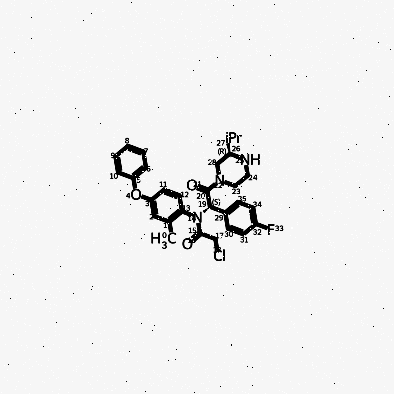 Cc1cc(Oc2ccccc2)ccc1N(C(=O)CCl)[C@H](C(=O)N1CCN[C@H](C(C)C)C1)c1ccc(F)cc1